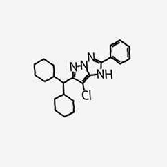 Clc1c(C(C2CCCCC2)C2CCCCC2)nn2nc(-c3ccccc3)[nH]c12